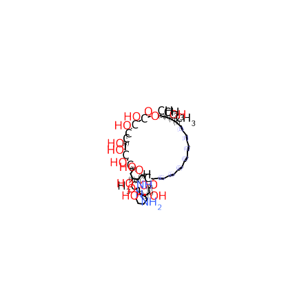 CC1O[C@@H](OC2/C=C/C=C/C=C/C=C/C=C/C=C/C=C/[C@H](C)[C@@H](O)[C@@H](C)[C@H](C)OC(=O)CC(O)CC(O)CC[C@@H](O)C(O)CC(O)C[C@]3(O)C[C@H](O)[C@@H](NC(=O)N4CCCCC4)[C@H](C2)O3)[C@@H](O)[C@@H](N)[C@@H]1O